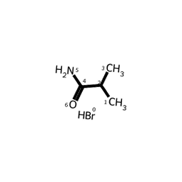 Br.CC(C)C(N)=O